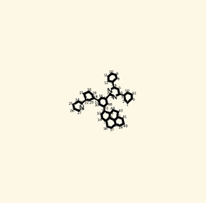 c1ccc(-c2cc(-c3ccccc3)nc(-c3cc(-c4cccc(-c5ccccn5)c4)cc(-c4ccc5ccc6cccc7ccc4c5c67)c3)n2)cc1